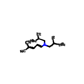 CCCCC(CC)CN(C=CC=C(C#N)C#N)CC(CC)CCCC